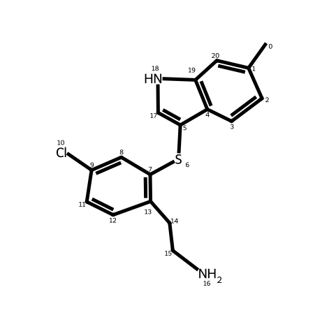 Cc1ccc2c(Sc3cc(Cl)ccc3CCN)c[nH]c2c1